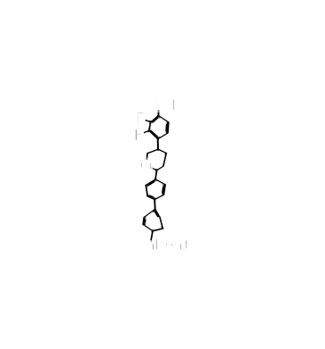 CCCCCC1C=CC(c2ccc(C3CCC(c4ccc(C)c(F)c4F)CO3)cc2)=CC1